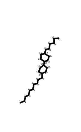 CCCCCCCCCCC1CCC(C2CCC(CCCCCC)CC2)CC1